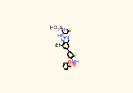 CCc1cc(-c2ccc(NS(=O)(=O)Cc3ccccc3)c(F)c2)cc2cnc(N[C@H]3C[C@H](F)CN(C(=O)O)C3)nc12